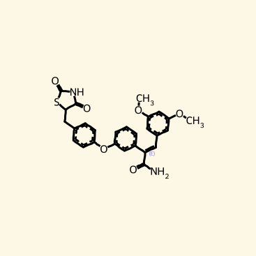 COc1cc(/C=C(/C(N)=O)c2cccc(Oc3ccc(CC4SC(=O)NC4=O)cc3)c2)cc(OC)c1